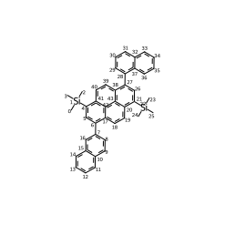 C[Si](C)(C)c1cc(-c2ccc3ccccc3c2)c2ccc3c([Si](C)(C)C)cc(-c4cccc5ccccc45)c4ccc1c2c43